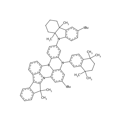 CC(C)(C)c1cc2c3c(c1)-n1c4c(c5cccc(c51)B3c1ccc(N3c5ccc(C(C)(C)C)cc5C5(C)CCCCC35C)cc1N2c1ccc2c(c1)C(C)(C)CCC2(C)C)-c1ccccc1C4(C)C